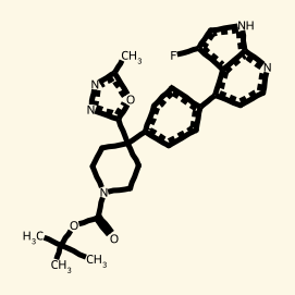 Cc1nnc(C2(c3ccc(-c4ccnc5[nH]cc(F)c45)cc3)CCN(C(=O)OC(C)(C)C)CC2)o1